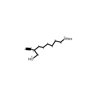 C#CC(CO)CCCCCCCCCCCC